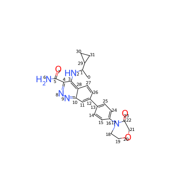 CC(Nc1c(C(N)=O)nnc2cc(-c3ccc(N4CCOCC4=O)cc3)ccc12)C1CC1